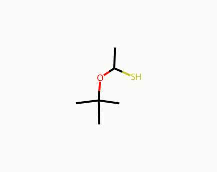 CC(S)OC(C)(C)C